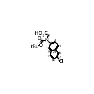 CC(C)(C)OC(=O)N(CC(=O)O)c1ccc2cc(Cl)ccc2c1